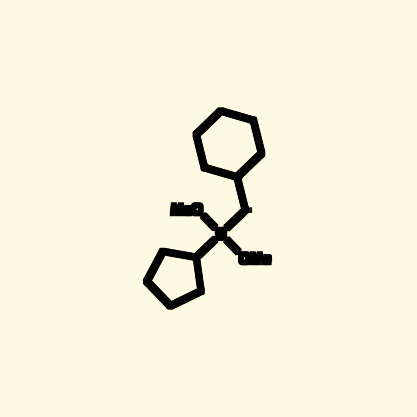 CO[Si]([CH]C1CCCCC1)(OC)C1CCCC1